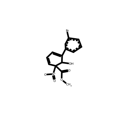 COC(=O)C1([N+](=O)[O-])C=CC=C(c2cccc(Br)c2)C1O